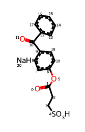 O=C(CCS(=O)(=O)O)Oc1ccc(C(=O)c2ccccc2)cc1.[NaH]